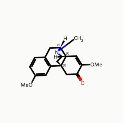 COC1=C[C@H]2[C@H]3Cc4ccc(OC)cc4[C@@]2(CCN3C)CC1=O